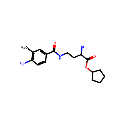 COc1cc(C(=O)NCCC(N)C(=O)OC2CCCC2)ccc1N